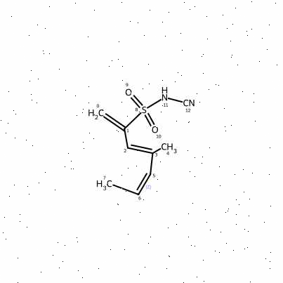 C=C(C=C(C)/C=C\C)S(=O)(=O)NC#N